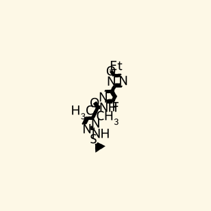 CCOc1cncc(-c2cnc(NC(=O)C(C)(C)c3ccnc(NSC4CC4)n3)c(F)c2)n1